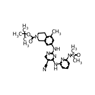 Cc1cc(Nc2ncc(C#N)c(Nc3cccc(N=S(C)(C)=O)n3)n2)cc2c1CCN(C(=O)OC(C)(C)C)C2